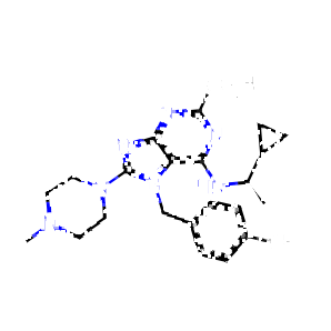 C[C@@H](Nc1nc(C(=O)O)nc2nc(N3CCN(C)CC3)n(Cc3ccc(C(F)(F)F)cc3)c12)C1CC1